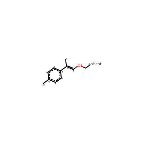 CCCCCCCCO/C=C(\C)c1ccc(C)cc1